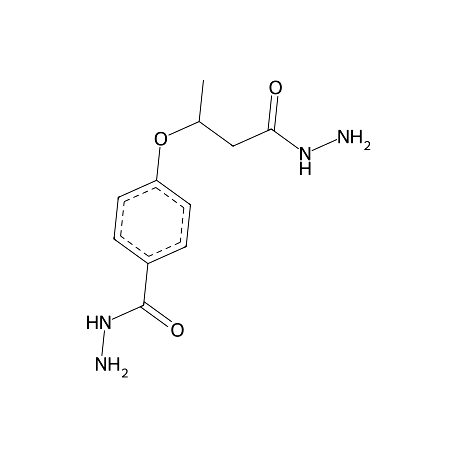 CC(CC(=O)NN)Oc1ccc(C(=O)NN)cc1